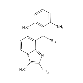 Cc1cccc(N)c1C(N)c1cccn2c(C)c(C)nc12